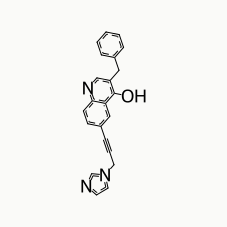 Oc1c(Cc2ccccc2)cnc2ccc(C#CCn3ccnc3)cc12